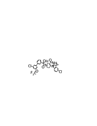 O=C([C@H](O)c1cccc(-c2cc(Cl)cc(OC(F)(F)F)c2)c1)N1CCc2nc(C3(c4cccc(Cl)c4)CC3)[nH]c(=O)c2C1